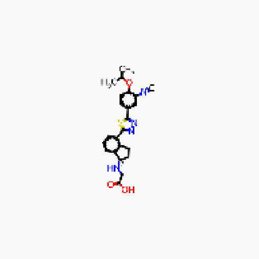 [C-]#[N+]c1cc(-c2nnc(-c3cccc4c3CC[C@H]4NCC(=O)O)s2)ccc1OC(C)C